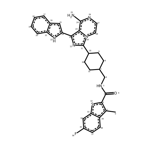 Cc1c(C(=O)NCC2CCC(c3nc(-c4cc5ccccc5[nH]4)c4c(N)nccn34)CC2)sc2cc(F)ccc12